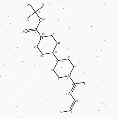 C/C=C\N=C(/C)N1CCC(C2CCN(C(=O)OC(C)(C)C)CC2)CC1